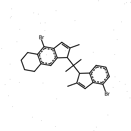 CC1=Cc2c(Br)cccc2C1C(C)(C)C1C(C)=Cc2c1cc1c(c2Br)CCCC1